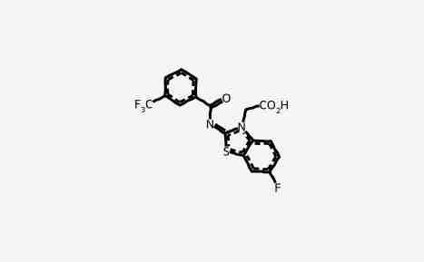 O=C(O)Cn1c(=NC(=O)c2cccc(C(F)(F)F)c2)sc2cc(F)ccc21